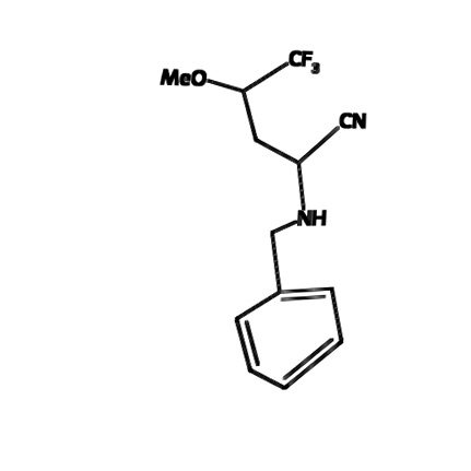 COC(CC(C#N)NCc1ccccc1)C(F)(F)F